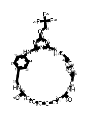 O=C1CCCCCCC(=O)NCc2ccc(cc2)Nc2nc(nc(OCC(F)(F)F)n2)NCc2ccc(cc2)CN1